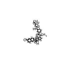 COC(=O)CC(=O)NC1CCCN(C(=O)[C@H](C)N2CC[C@H](NS(=O)(=O)c3ccc4cc(Cl)ccc4c3)C2=O)C1